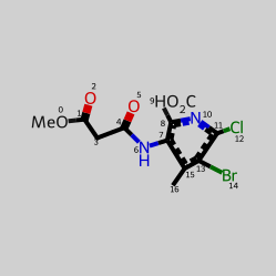 COC(=O)CC(=O)Nc1c(C(=O)O)nc(Cl)c(Br)c1C